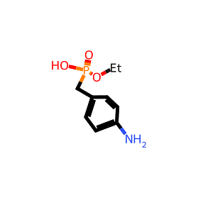 CCOP(=O)(O)Cc1ccc(N)cc1